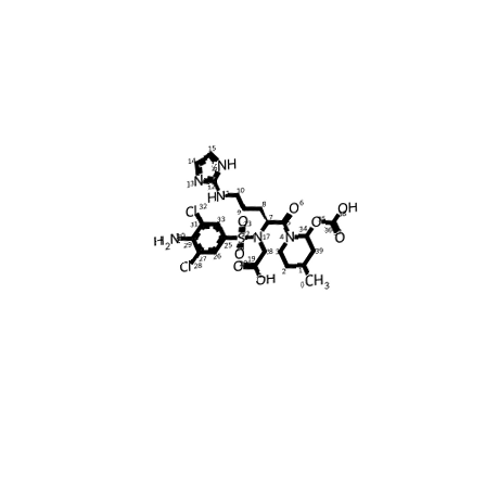 CC1CCN(C(=O)[C@H](CCCNc2ncc[nH]2)N(CC(=O)O)S(=O)(=O)c2cc(Cl)c(N)c(Cl)c2)C(OC(=O)O)C1